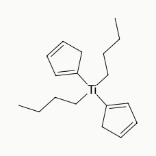 CCC[CH2][Ti]([CH2]CCC)([C]1=CC=CC1)[C]1=CC=CC1